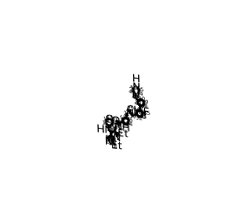 CCc1nc2c(cnn2CC)c(NC2CCOCC2)c1CNC(=O)c1cccc(CN(C)Cc2ccc(F)c(-c3cccc(CN4CCNCC4)c3)c2)c1